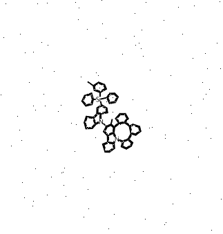 Cc1cccc([Si](c2ccccc2)(c2ccccc2)c2ccc3c(c2)c2ccccc2n3-c2cc3c4ccccc4n4c5ccccc5c5ccccc5c5ccccc5c(c2C)c34)c1